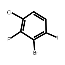 Fc1c(Cl)ccc(I)c1Br